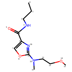 CCCNC(=O)c1coc(N(C)CCOC)n1